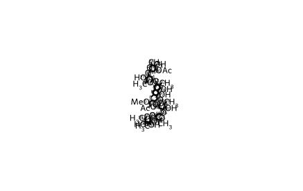 CO[C@H](C(=O)C(C)=O)[C@@H]1Cc2cc3cc(O[C@H]4CC(O[C@H]5C[C@@H](OC(C)=O)[C@H](O)C(C)O5)[C@H](O)C(C)O4)c(C)c(O)c3c(O)c2C(=O)[C@H]1O[C@H]1C[C@@H](O[C@H]2C[C@@H](O[C@H]3C[C@](C)(O)[C@H](O)C(C)O3)[C@@H](O)C(C)O2)[C@H](O)C(C)O1